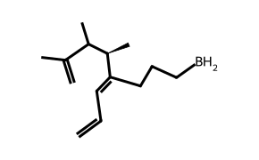 BCCC/C(=C\C=C)[C@H](C)C(C)C(=C)C